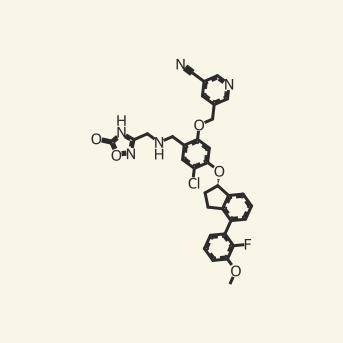 COc1cccc(-c2cccc3c2CC[C@@H]3Oc2cc(OCc3cncc(C#N)c3)c(CNCc3noc(=O)[nH]3)cc2Cl)c1F